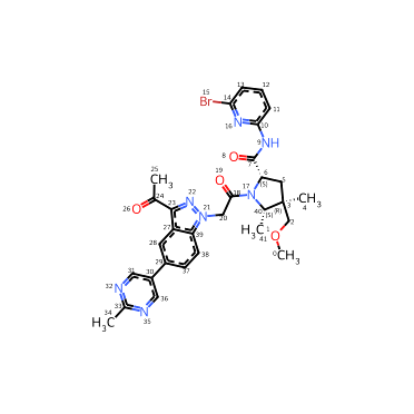 COC[C@]1(C)C[C@@H](C(=O)Nc2cccc(Br)n2)N(C(=O)Cn2nc(C(C)=O)c3cc(-c4cnc(C)nc4)ccc32)[C@H]1C